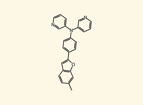 Cc1ccc2cc(-c3ccc(N(c4cccnc4)c4cccnc4)cc3)oc2c1